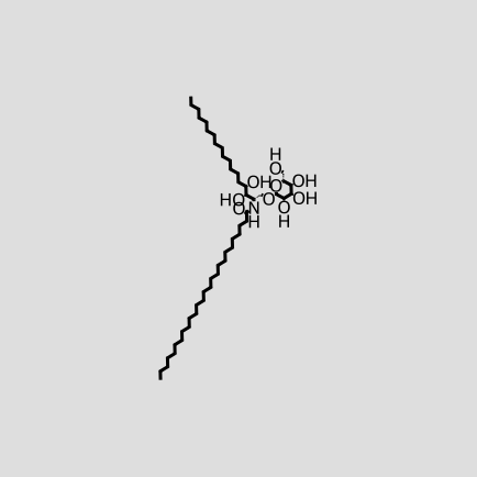 CCCCCCCCCCCCCCCCCCCCCCCCCC(=O)N[C@@H](CO[C@@H]1O[C@H](CO)[C@H](O)[C@H](O)[C@H]1O)[C@H](O)[C@H](O)CCCCCCCCCCCCCC